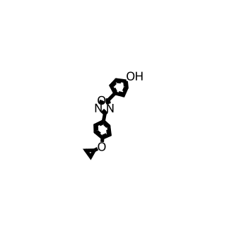 Oc1ccc(-c2nc(-c3ccc(OC4CC4)cc3)no2)cc1